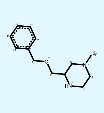 CC(C)N1CCNC(COCc2ccccc2)C1